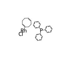 [Cl][Rh]/[C]1=C/CC/C=C\CC1.c1ccc(P(c2ccccc2)c2ccccc2)cc1